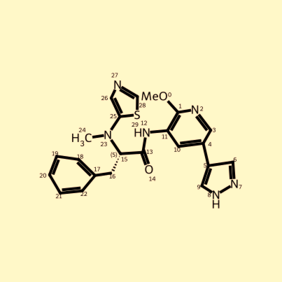 COc1ncc(-c2cn[nH]c2)cc1NC(=O)[C@H](Cc1ccccc1)N(C)c1cncs1